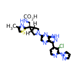 Cc1csc([C@]2(CNC(=O)O)[C@@H]3CN(c4cnc5c(-c6ccnc(-n7cccn7)c6Cl)n[nH]c5n4)C[C@@H]32)n1